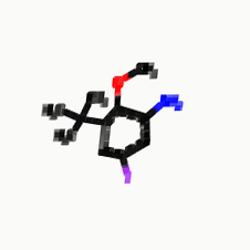 COc1c(N)cc(I)cc1C(C)(C)C